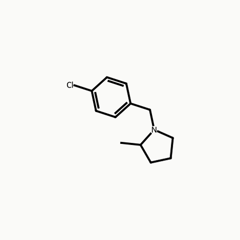 CC1CCCN1Cc1ccc(Cl)cc1